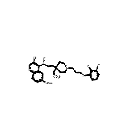 COc1ccc2ncc(Cl)c([C@H](F)CCC3(CC(=O)O)CCN(CCCSc4cccc(F)c4F)CC3)c2c1